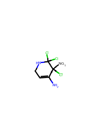 NC1=CCNC(Cl)(Cl)C1(Cl)[N+](=O)[O-]